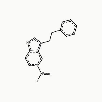 O=[N+]([O-])c1ccc2ncn(CCc3ccccc3)c2c1